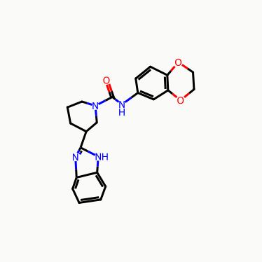 O=C(Nc1ccc2c(c1)OCCO2)N1CCCC(c2nc3ccccc3[nH]2)C1